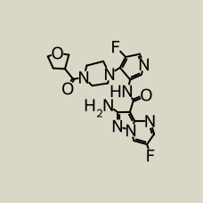 Nc1nn2cc(F)cnc2c1C(=O)Nc1cncc(F)c1N1CCN(C(=O)C2CCOC2)CC1